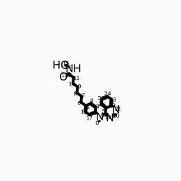 CN(c1ccc(CCCCCCC(=O)NO)cc1)c1ncnc2ccccc12